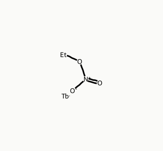 CCO[N+](=O)[O-].[Tb]